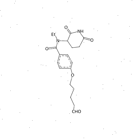 CCN(C(=O)c1ccc(OCCCCC=O)cc1)C1CCC(=O)NC1=O